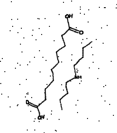 CCCCNCCCC.O=C(O)CCCCCCCCC(=O)O